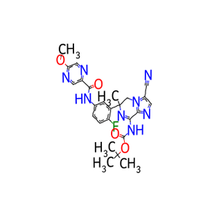 COc1cnc(C(=O)Nc2ccc(F)c(C3(C)Cn4c(C#N)cnc4C(NC(=O)OC(C)(C)C)=N3)c2)cn1